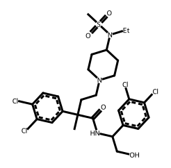 CCN(C1CCN(CCC(C)(C(=O)NC(CO)c2ccc(Cl)c(Cl)c2)c2ccc(Cl)c(Cl)c2)CC1)S(C)(=O)=O